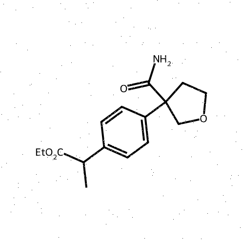 CCOC(=O)C(C)c1ccc(C2(C(N)=O)CCOC2)cc1